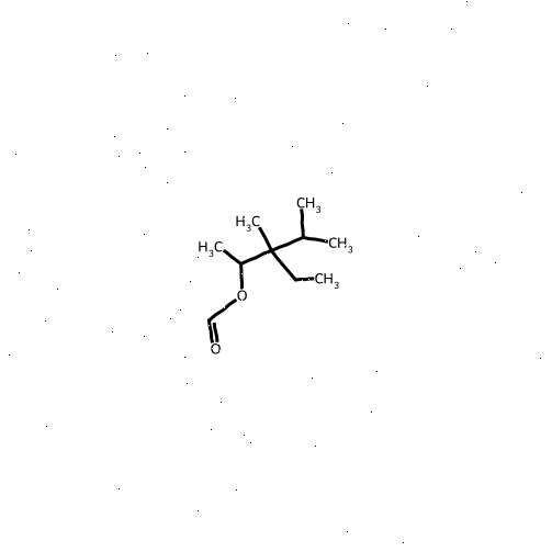 CCC(C)(C(C)C)C(C)OC=O